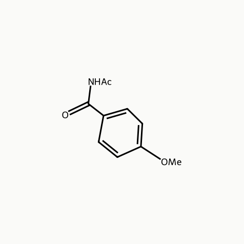 COc1ccc(C(=O)NC(C)=O)cc1